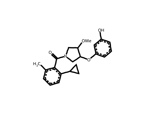 COC1CN(C(=O)c2c(C)cccc2C2CC2)CC1Oc1cccc(O)c1